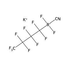 N#C[B-](F)(F)C(F)(F)C(F)(F)C(F)(F)C(F)(F)F.[K+]